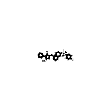 O=C1C(c2ccccc2)=C(O)CC1Cc1cccc2c1CCC(NS(=O)(=O)c1ccc(Cl)cc1)C2